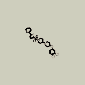 O=S(=O)(c1ccc(-c2ccccn2)s1)N1CCC(N2CCC(Oc3ccc(Cl)c(Cl)c3)CC2)CC1